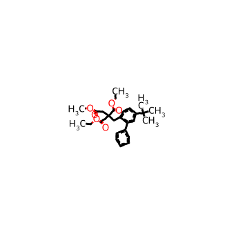 CCOC(=O)C(CC(=O)OC)(Cc1ccc(C(C)(C)C)cc1-c1ccccc1)C(=O)OCC